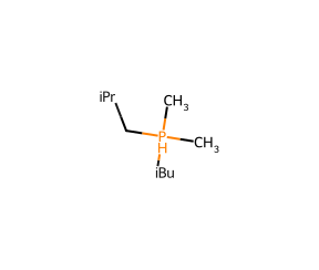 CCC(C)[PH](C)(C)CC(C)C